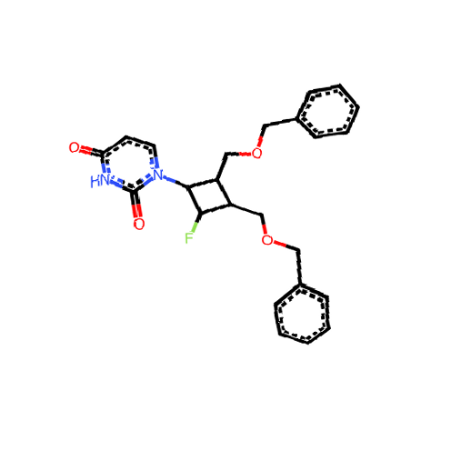 O=c1ccn(C2C(F)C(COCc3ccccc3)C2COCc2ccccc2)c(=O)[nH]1